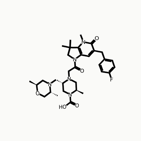 C[C@@H]1CO[C@@H](C)CN1C[C@H]1CN(C(=O)O)[C@H](C)CN1CC(=O)N1CC(C)(C)c2c1cc(Cc1ccc(F)cc1)c(=O)n2C